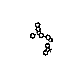 CC1(C)c2ccccc2-c2ccc(-n3ccc4ccc(-c5ccc6c(c5)c5cc7ccccc7cc5n6-c5ccccc5)cc43)cc21